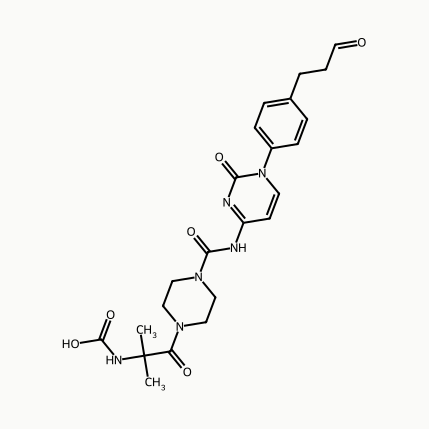 CC(C)(NC(=O)O)C(=O)N1CCN(C(=O)Nc2ccn(-c3ccc(CCC=O)cc3)c(=O)n2)CC1